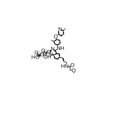 COCC(=O)NC/C=C/c1ccc2ncnc(Nc3ccc(Oc4ccc(C)nc4)c(C)c3)c2c1.O=[N+]([O-])O.O=[N+]([O-])O